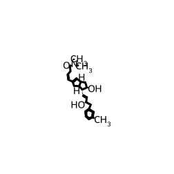 Cc1cccc(C[C@@H](O)/C=C/[C@@H]2[C@H]3CC(/C=C\CC(=O)N(C)C)=C[C@H]3C[C@H]2O)c1